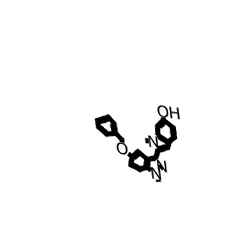 Cn1nc(-c2cc3ccc(O)cc3n2C)c2cc(OCc3ccccc3)ccc21